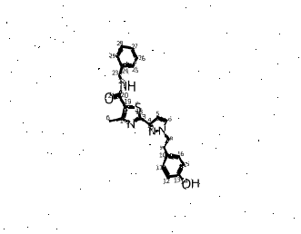 Cc1nc(-c2ccn(CCc3ccc(O)cc3)n2)sc1C(=O)NCc1ccccc1